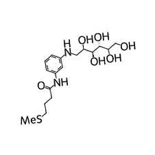 CSCCCC(=O)Nc1cccc(NCC(O)[C@H](O)[C@H](O)C(O)CO)c1